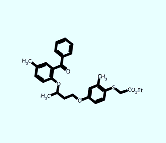 CCOC(=O)CSc1ccc(OCCC(C)Oc2ccc(C)cc2C(=O)c2ccccc2)cc1C